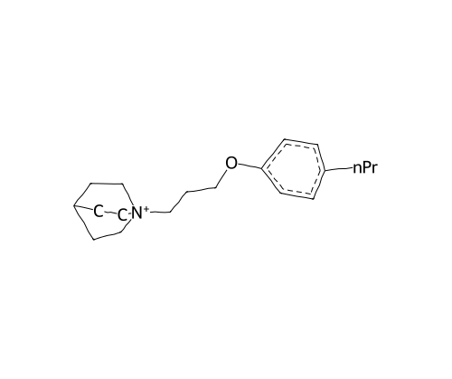 CCCc1ccc(OCCC[N+]23CCC(CC2)CC3)cc1